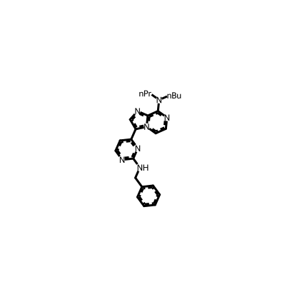 CCCCN(CCC)c1nccn2c(-c3ccnc(NCc4ccccc4)n3)cnc12